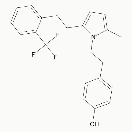 Cc1ccc(CCc2ccccc2C(F)(F)F)n1CCc1ccc(O)cc1